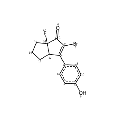 O=C1C(Br)=C(c2ccc(O)cc2)C2CCCC12F